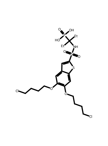 CCC(CC)(NS(=O)(=O)c1cc2cc(OCCCCCl)c(OCCCCCl)cc2s1)P(=O)(O)O